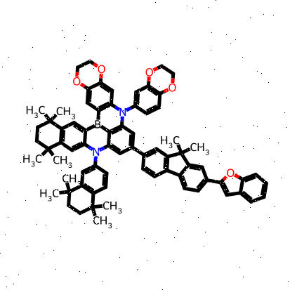 CC1(C)CCC(C)(C)c2cc(N3c4cc5c(cc4B4c6cc7c(cc6N(c6ccc8c(c6)OCCO8)c6cc(-c8ccc9c(c8)C(C)(C)c8cc(-c%10cc%11ccccc%11o%10)ccc8-9)cc3c64)OCCO7)C(C)(C)CCC5(C)C)ccc21